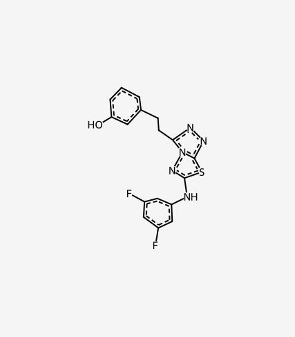 Oc1cccc(CCc2nnc3sc(Nc4cc(F)cc(F)c4)nn23)c1